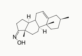 C[C@H]1CC[C@@]2(C)C(=CCC3[C@@H]2CC[C@]2(C)/C(=N\O)CC[C@@H]32)C1